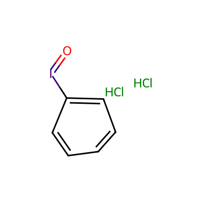 Cl.Cl.O=Ic1ccccc1